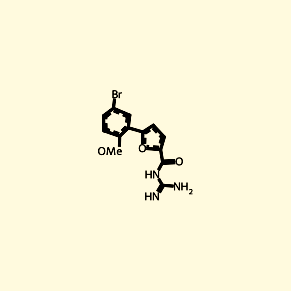 COc1ccc(Br)cc1-c1ccc(C(=O)NC(=N)N)o1